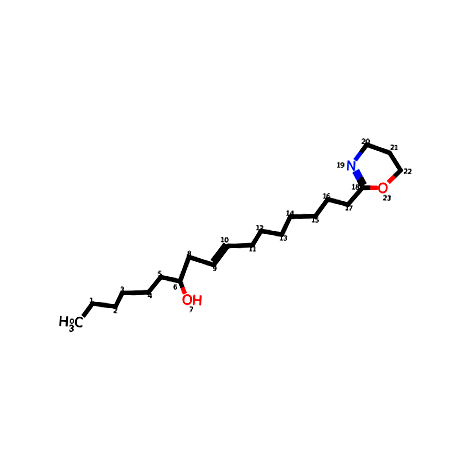 CCCCCCC(O)C/C=C/CCCCCCCC1=NCCCO1